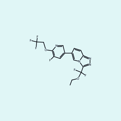 CCOC(F)(F)c1nnc2ccc(-c3cnc(OCC(F)(F)F)c(F)c3)cn12